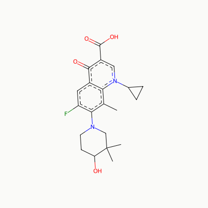 Cc1c(N2CCC(O)C(C)(C)C2)c(F)cc2c(=O)c(C(=O)O)cn(C3CC3)c12